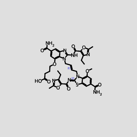 CCc1nc(C)oc1C(=O)/N=c1\sc2cc(C(N)=O)cc(OC)c2n1C/C=C/Cn1c(NC(=O)c2oc(C)nc2CC)nc2cc(C(N)=O)cc(OCCCC(=O)O)c21